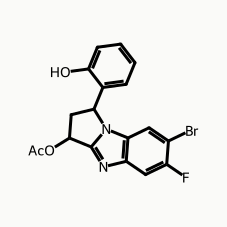 CC(=O)OC1CC(c2ccccc2O)n2c1nc1cc(F)c(Br)cc12